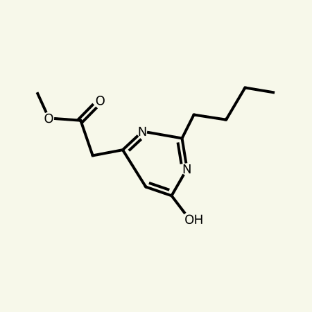 CCCCc1nc(O)cc(CC(=O)OC)n1